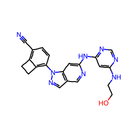 N#Cc1ccc(-n2ncc3cnc(Nc4cc(NCCO)ncn4)cc32)c2c1CC2